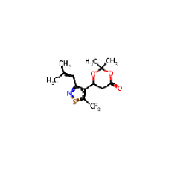 CC(C)=Cc1nsc(C(F)(F)F)c1C1CC(=O)OC(C)(C)O1